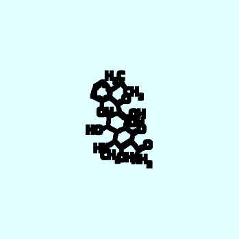 CN[C@@H]1C(O)=C(C(N)=O)C(=O)[C@@]2(O)C(O)=C(C(=O)c3c(O)cccc3C(C)C)C[C@H](O)C12